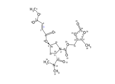 COC(=O)/C=C/C(=O)O[C@@H]1C[C@@H](C(=O)N(C)C)N(C(=O)OCc2oc(=O)oc2C)C1